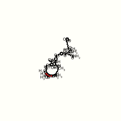 CCC(=O)c1c2c(C)c(O)c3c1C1=NC4(CCN(C(=O)OCc5ccc(NC(=O)[C@H](CCCNC(N)=O)NC(=O)[C@@H](NC(=O)CCCCCN6C(=O)C=CC6=O)C(C)C)cc5)CC4)NC1=C(NC(=O)/C(C)=C\C=C\[C@H](C)[C@H](O)[C@@H](C)[C@@H](O)[C@@H](C)[C@H](OC(C)=O)[C@H](C)[C@@H](OC)/C=C/OCO2)C3=O